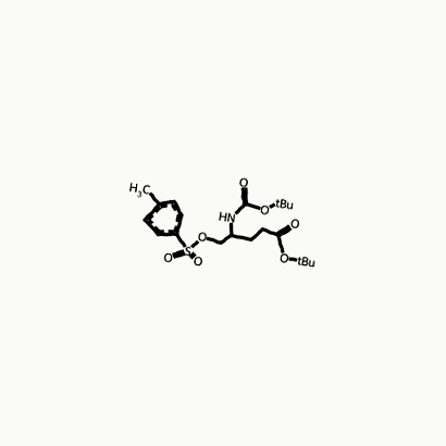 Cc1ccc(S(=O)(=O)OCC(CCC(=O)OC(C)(C)C)NC(=O)OC(C)(C)C)cc1